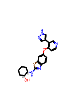 O[C@@H]1CCCC[C@H]1Nc1nc2ccc(Oc3ccncc3-c3cn[nH]c3)cc2s1